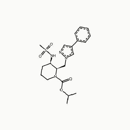 CC(C)OC(=O)N1CCC[C@@H](NS(C)(=O)=O)[C@H]1Cn1cc(-c2ccccc2)cn1